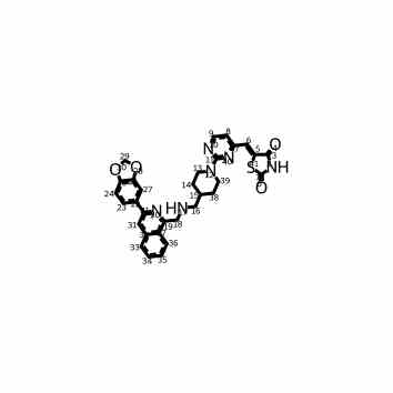 O=C1NC(=O)C(=Cc2ccnc(N3CCC(CNCc4nc(-c5ccc6c(c5)OCO6)cc5ccccc45)CC3)n2)S1